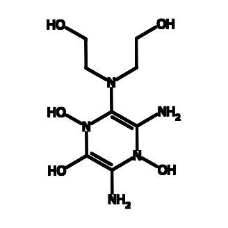 NC1=C(O)N(O)C(N(CCO)CCO)=C(N)N1O